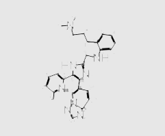 Cc1cccc(-c2[nH]c(CNc3ccccc3CCCN(C)C)nc2-c2ccc3ncnn3c2)n1